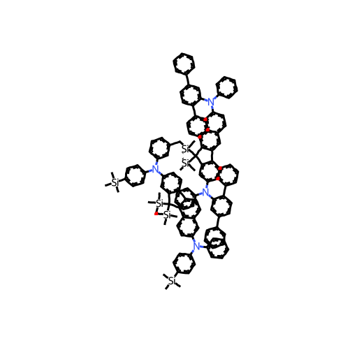 C[Si](C)(C)c1ccc(N(c2cccc(C[Si](C)(C)C3([Si](C)(C)C)c4cc(N(c5ccccc5)c5cc(-c6ccccc6)ccc5-c5ccccc5)ccc4-c4cc5ccc(N(c6ccccc6)c6cc(-c7ccccc7)ccc6-c6ccccc6)cc5cc43)c2)c2ccc3c(c2)C([Si](C)(C)C)([Si](C)(C)C)c2c-3ccc3cc(N(c4ccccc4)c4ccc([Si](C)(C)C)cc4)ccc23)cc1